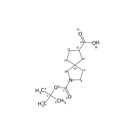 CC(C)(C)OC(=O)N1CCC2(CCC(C(=O)O)C2)C1